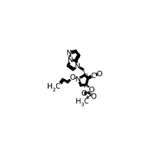 C=CCON1C[C@H](OS(C)(=O)=O)C(=C=O)[C@H]1Cn1ccn2nccc12